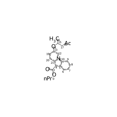 CCCOC(=O)c1c2ccccc2n2cc(OC(C)CC(C)=O)ccc12